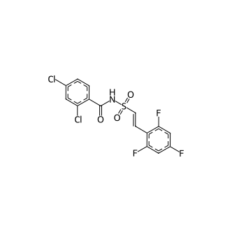 O=C(NS(=O)(=O)/C=C/c1c(F)cc(F)cc1F)c1ccc(Cl)cc1Cl